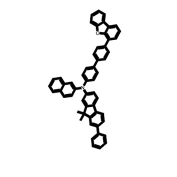 CC1(C)c2cc(-c3ccccc3)ccc2-c2ccc(N(c3ccc(-c4ccc(-c5cccc6c5oc5ccccc56)cc4)cc3)c3ccc4ccccc4c3)cc21